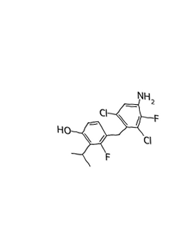 CC(C)c1c(O)ccc(Cc2c(Cl)cc(N)c(F)c2Cl)c1F